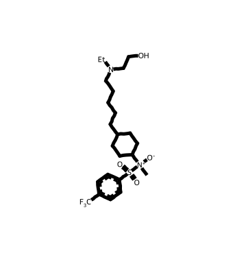 CCN(CCO)CCCCCC1CCC([N+](C)([O-])S(=O)(=O)c2ccc(C(F)(F)F)cc2)CC1